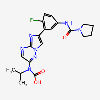 CC(C)N(C(=O)O)c1cnc2nc(-c3cc(NC(=O)N4CCCC4)ccc3F)cn2n1